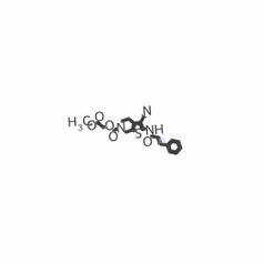 COC(=O)COC(=O)N1CCc2c(sc(NC(=O)/C=C/c3ccccc3)c2C#N)C1